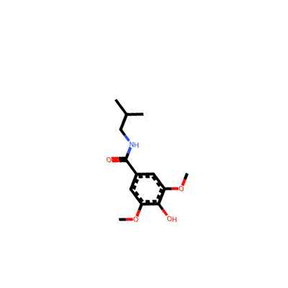 COc1cc(C(=O)NCC(C)C)cc(OC)c1O